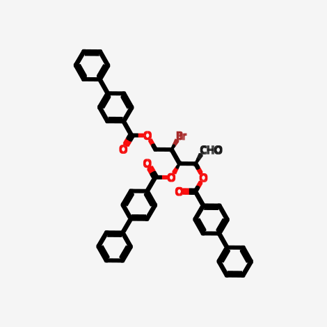 O=C[C@@H](OC(=O)c1ccc(-c2ccccc2)cc1)[C@@H](OC(=O)c1ccc(-c2ccccc2)cc1)[C@H](Br)COC(=O)c1ccc(-c2ccccc2)cc1